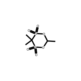 CC1OS(=O)(=O)C(C)(C)S(=O)(=O)O1